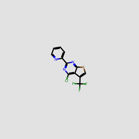 FC(F)(F)c1csc2nc(-c3ccccn3)nc(Cl)c12